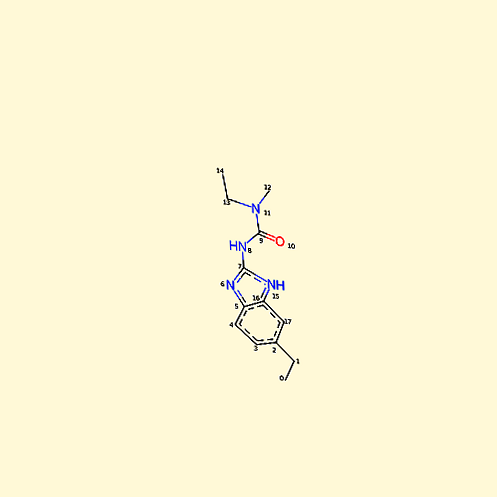 CCc1ccc2nc(NC(=O)N(C)CC)[nH]c2c1